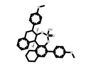 COc1ccc(-c2cc3c(c4c2OP(=O)(O)O[C@@H]2C(c5ccc(OC)cc5)Cc5ccccc5[C@H]42)CCCC3)cc1